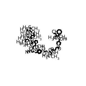 C=CCC(C)C(C)(NC(O)C1CCN(C(=O)CCC(=O)N[C@H](C(=O)NCC(=O)Nc2ccc(C[C@@H](CN=[N+]=[N-])NC(=O)C(C)[C@@H](OC)[C@@H]3CCCN3C(=O)C[C@@H](OC)C([C@@H](C)CC)N(C)C(=O)[C@@H](NC(=O)[C@H](C(C)C)N(C)C)C(C)C)cc2)C(C)C)CC1)C1CCCCCC1